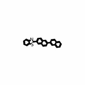 c1ccc2cc(-c3ccc4cc(-c5nc6ccccc6s5)ccc4c3)ccc2c1